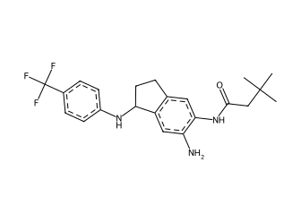 CC(C)(C)CC(=O)Nc1cc2c(cc1N)C(Nc1ccc(C(F)(F)F)cc1)CC2